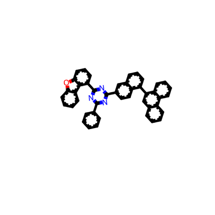 c1ccc(-c2nc(-c3ccc4c(-c5cc6ccccc6c6ccccc56)cccc4c3)nc(-c3cccc4oc5ccccc5c34)n2)cc1